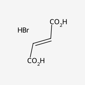 Br.O=C(O)/C=C/C(=O)O